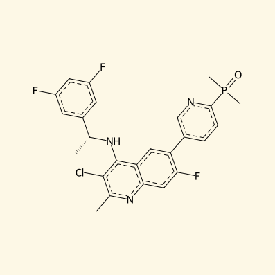 Cc1nc2cc(F)c(-c3ccc(P(C)(C)=O)nc3)cc2c(N[C@H](C)c2cc(F)cc(F)c2)c1Cl